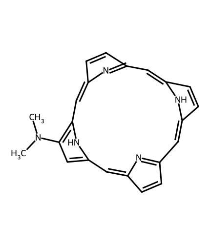 CN(C)c1cc2cc3nc(cc4ccc(cc5nc(cc1[nH]2)C=C5)[nH]4)C=C3